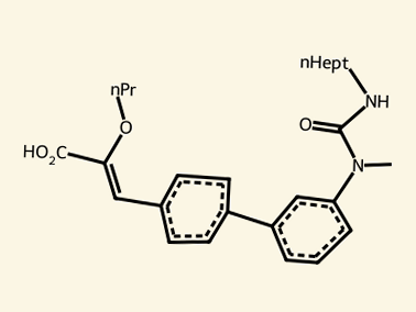 CCCCCCCNC(=O)N(C)c1cccc(-c2ccc(C=C(OCCC)C(=O)O)cc2)c1